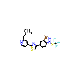 CCCc1cc(-c2nc(-c3ccc(NSC(F)(F)F)c(Br)c3)cs2)ccn1